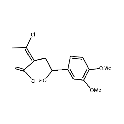 C=C(Cl)/C(CC(O)c1ccc(OC)c(OC)c1)=C(\C)Cl